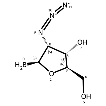 B[C@@H]1O[C@H](CO)[C@@H](O)[C@H]1N=[N+]=[N-]